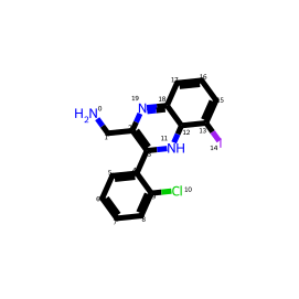 NCC1=C(c2ccccc2Cl)NC2C(I)=CC=CC2=N1